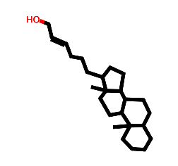 CC12CCCCC1CCC1C2CCC2(C)C(CCC/C=C/CO)CCC12